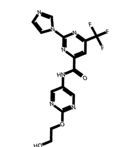 O=C(Nc1cnc(OCCO)nc1)c1cc(C(F)(F)F)nc(-n2ccnc2)n1